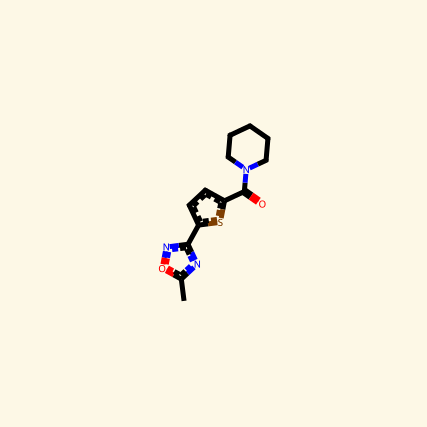 Cc1nc(-c2ccc(C(=O)N3CCCCC3)s2)no1